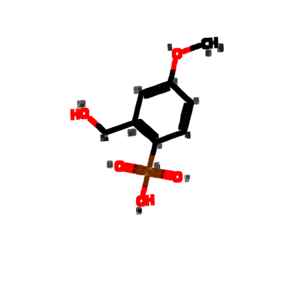 COc1ccc(S(=O)(=O)O)c(CO)c1